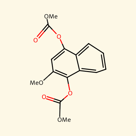 COC(=O)Oc1cc(OC)c(OC(=O)OC)c2ccccc12